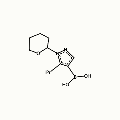 CC(C)c1c(B(O)O)cnn1C1CCCCO1